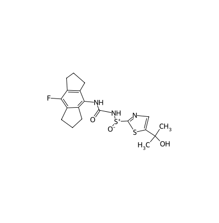 CC(C)(O)c1cnc([S+]([O-])NC(=O)Nc2c3c(c(F)c4c2CCC4)CCC3)s1